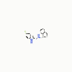 CC(NCc1cc2cc(F)ccc2[nH]1)c1cccc2ccccc12